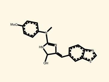 COc1ccc(N(C)C2=N/C(=C\c3ccc4ncsc4c3)C(O)N2)cc1